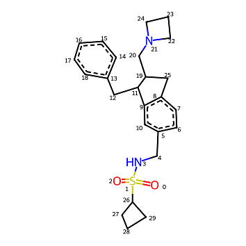 O=S(=O)(NCc1ccc2c(c1)C(Cc1ccccc1)C(CN1CCC1)C2)C1CCC1